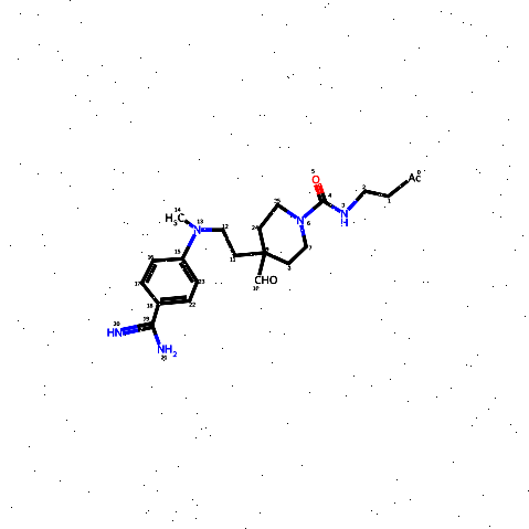 CC(=O)CCNC(=O)N1CCC(C=O)(CCN(C)c2ccc(C(=N)N)cc2)CC1